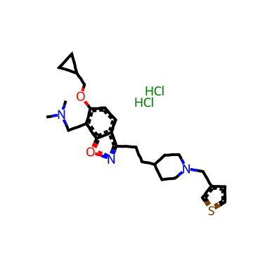 CN(C)Cc1c(OCC2CC2)ccc2c(CCC3CCN(Cc4ccsc4)CC3)noc12.Cl.Cl